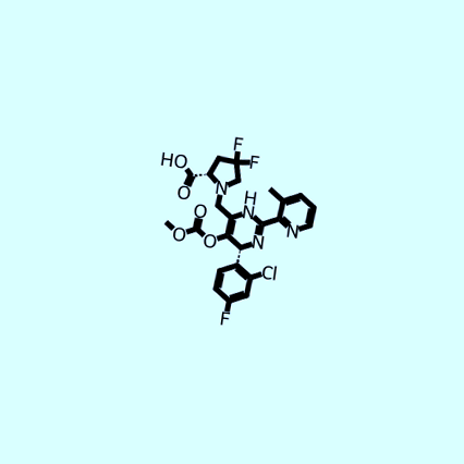 COC(=O)OC1=C(CN2CC(F)(F)C[C@H]2C(=O)O)NC(c2ncccc2C)=N[C@@H]1c1ccc(F)cc1Cl